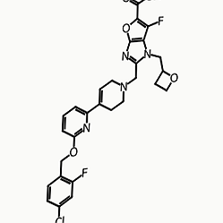 O=C(O)c1oc2nc(CN3CC=C(c4cccc(OCc5ccc(Cl)cc5F)n4)CC3)n(CC3CCO3)c2c1F